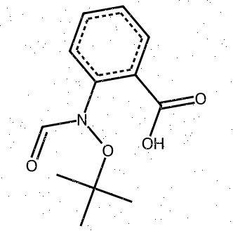 CC(C)(C)ON(C=O)c1ccccc1C(=O)O